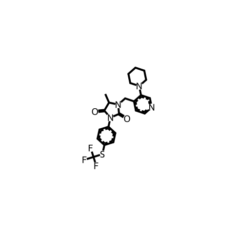 CC1C(=O)N(c2ccc(SC(F)(F)F)cc2)C(=O)N1Cc1ccncc1N1CCCCC1